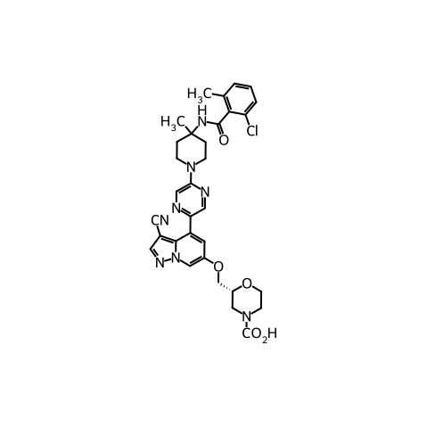 Cc1cccc(Cl)c1C(=O)NC1(C)CCN(c2cnc(-c3cc(OC[C@H]4CN(C(=O)O)CCO4)cn4ncc(C#N)c34)cn2)CC1